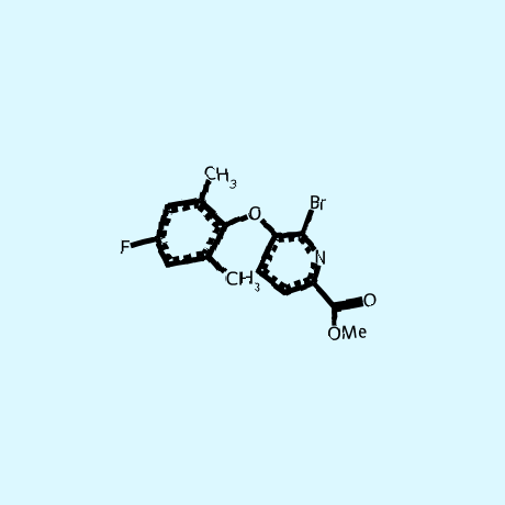 COC(=O)c1ccc(Oc2c(C)cc(F)cc2C)c(Br)n1